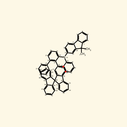 CC1(C)c2ccccc2-c2ccc(N(c3ccccc3)c3cccc(-c4ccccc4)c3-c3ccc4c(c3)C3(c5ccccc5-c5ccccc53)c3ccccc3-4)cc21